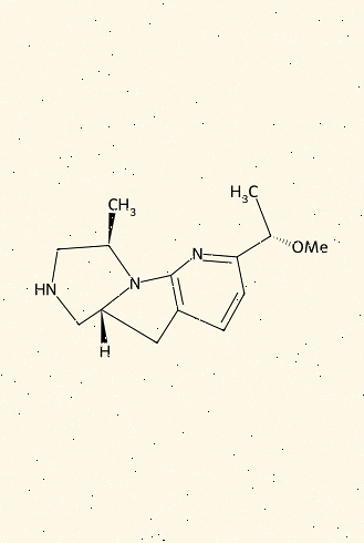 CO[C@@H](C)c1ccc2c(n1)N1[C@@H](CNC[C@H]1C)C2